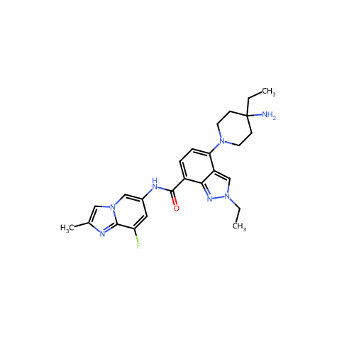 CCn1cc2c(N3CCC(N)(CC)CC3)ccc(C(=O)Nc3cc(F)c4nc(C)cn4c3)c2n1